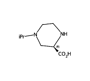 CC(C)N1CCN[C@@H](C(=O)O)C1